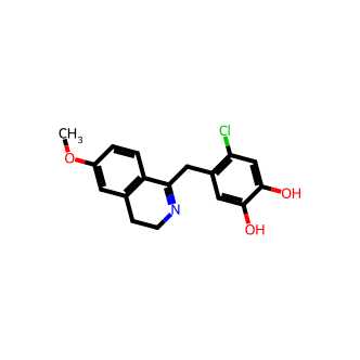 COc1ccc2c(c1)CCN=C2Cc1cc(O)c(O)cc1Cl